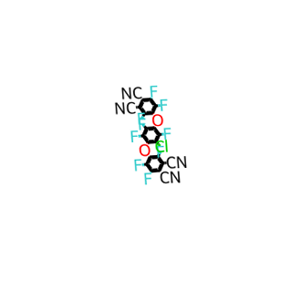 N#Cc1c(F)c(F)c(Oc2c(F)c(F)c(Oc3c(F)c(F)c(C#N)c(C#N)c3F)c(Cl)c2F)c(F)c1C#N